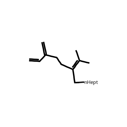 C=CC(=C)CCC(CCCCCCCC)=C(C)C